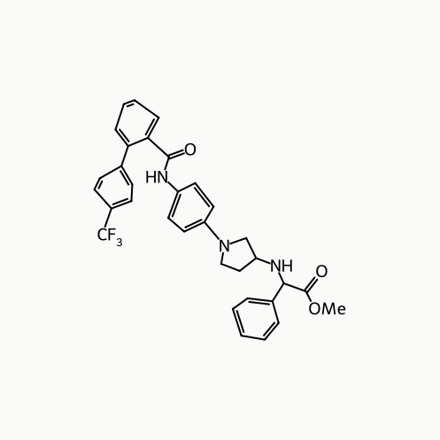 COC(=O)C(NC1CCN(c2ccc(NC(=O)c3ccccc3-c3ccc(C(F)(F)F)cc3)cc2)C1)c1ccccc1